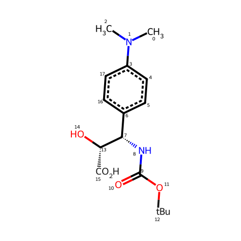 CN(C)c1ccc([C@H](NC(=O)OC(C)(C)C)[C@@H](O)C(=O)O)cc1